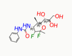 C[C@H]1[C@H]([C@H](O)[C@H](O)CO)OC(C)(F)C(F)[C@@H]1NC(=O)Nc1ccccc1